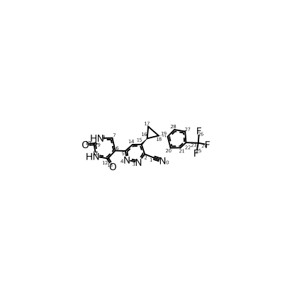 N#Cc1nnc(-c2c[nH]c(=O)[nH]c2=O)cc1[C@H]1C[C@@H]1c1ccc(C(F)(F)F)cc1